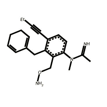 CCC#Cc1ccc(N(C)C(C)=N)c(CON)c1CC1=CCCC=C1